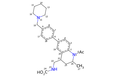 CC(=O)N1c2ccc(-c3ccc(CN4CCCCC4)cc3)cc2C(CNC(=O)O)CC1C